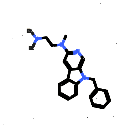 CCN(CC)CCN(C)c1cc2c3ccccc3n(Cc3ccccc3)c2cn1